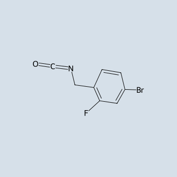 O=C=NCc1ccc(Br)cc1F